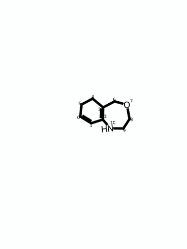 C1=CC2=C(CC1)COCCN2